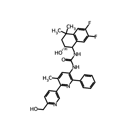 Cc1cc(NC(=O)NC2c3cc(F)c(F)cc3C(C)(C)C[C@H]2O)c(-c2ccccc2)nc1-c1ccc(CO)nc1